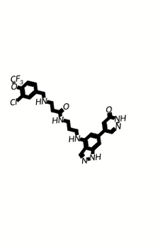 O=C(CCNCc1ccc(OC(F)(F)F)c(Cl)c1)NCCCNc1cc(-c2cn[nH]c(=O)c2)cc2[nH]ncc12